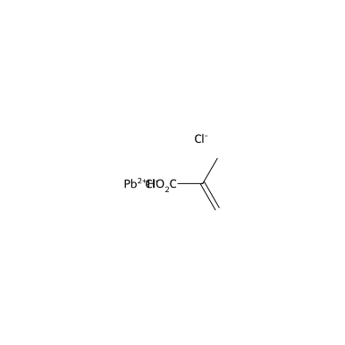 C=C(C)C(=O)O.[Cl-].[Cl-].[Pb+2]